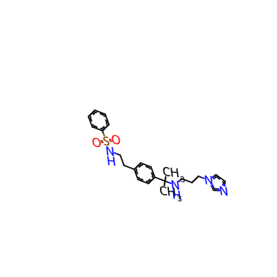 CC(C)(NCCCn1ccnc1)c1ccc(CCNS(=O)(=O)c2ccccc2)cc1